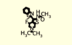 CC(=O)Nc1sc2c(c1-c1nc3ccccc3s1)C(F)CN(C(C)C)C2